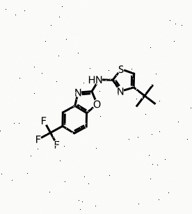 CC(C)(C)c1csc(Nc2nc3cc(C(F)(F)F)ccc3o2)n1